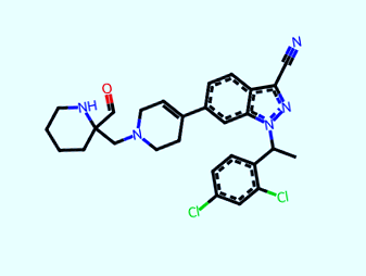 CC(c1ccc(Cl)cc1Cl)n1nc(C#N)c2ccc(C3=CCN(CC4(C=O)CCCCN4)CC3)cc21